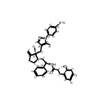 C=C1CC[C@H](CC(NC(=O)CCc2ccccc2O)c2ccccc2)[C@@]1(C)Cc1cnn(-c2ccc(F)cc2)c1C